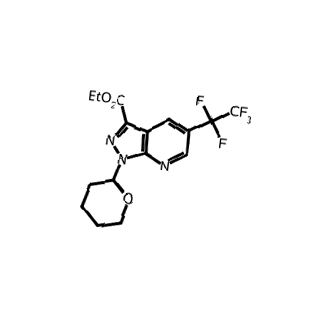 CCOC(=O)c1nn(C2CCCCO2)c2ncc(C(F)(F)C(F)(F)F)cc12